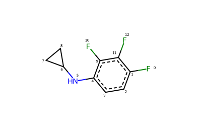 Fc1ccc(NC2CC2)c(F)c1F